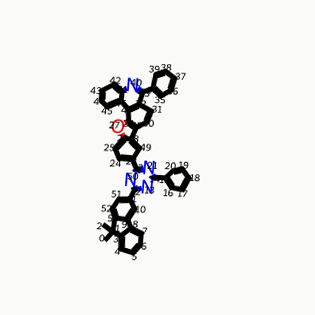 CC1(C)c2ccccc2-c2cc(-c3nc(-c4ccccc4)nc(-c4ccc5oc6c(ccc7c(-c8ccccc8)nc8ccccc8c76)c5c4)n3)ccc21